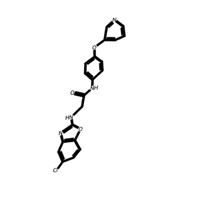 O=C(CNc1nc2cc(Cl)ccc2o1)Nc1ccc(Oc2cccnc2)cc1